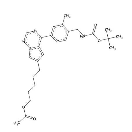 CC(=O)OCCCCCc1cc2c(-c3ccc(CNC(=O)OC(C)(C)C)c(C)c3)ncnn2c1